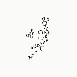 COc1cc(C(C)(C)c2cnc(SCc3c(F)cc(S(=O)(=O)N(C)[C@@H](CCCC[N+](C)(C)C)C(=O)O)cc3F)n2-c2ccc(F)cc2)ccc1Cl.O=C([O-])C(F)(F)F